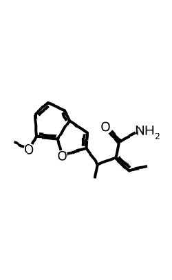 CC=C(C(N)=O)C(C)c1cc2cccc(OC)c2o1